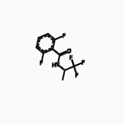 CC(NC(=O)c1c(F)cccc1F)C(F)(F)F